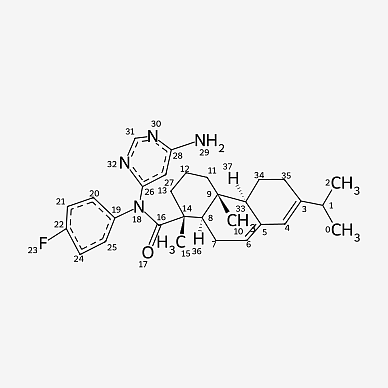 CC(C)C1=CC2=CC[C@@H]3[C@](C)(CCC[C@@]3(C)C(=O)N(c3ccc(F)cc3)c3cc(N)ncn3)[C@H]2CC1